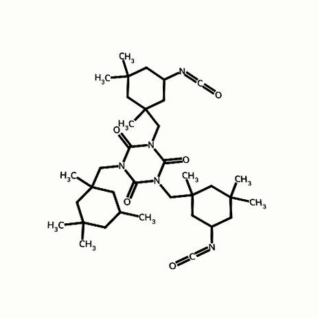 CC1CC(C)(C)CC(C)(Cn2c(=O)n(CC3(C)CC(N=C=O)CC(C)(C)C3)c(=O)n(CC3(C)CC(N=C=O)CC(C)(C)C3)c2=O)C1